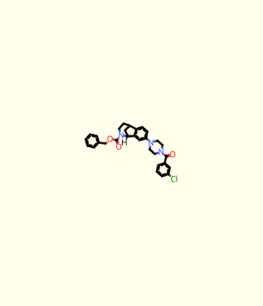 O=C(c1cccc(Cl)c1)N1CCN(c2ccc3c(c2)[C@H]2CC3CCN2C(=O)OCc2ccccc2)CC1